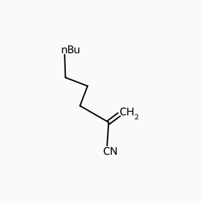 C=C(C#N)CCCCCCC